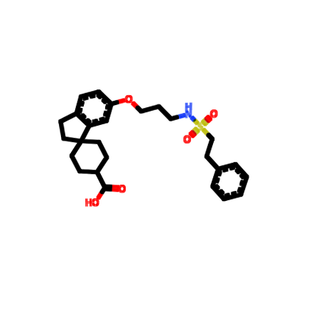 O=C(O)C1CCC2(CCc3ccc(OCCCNS(=O)(=O)CCc4ccccc4)cc32)CC1